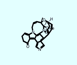 CO[C@@H]1[C@]2(C)/C=C\Cn3c4c(c5c6c(c7c(c53)[N+]1([O-])C1=C7C=C[C@@H](C1)O2)C=NC=6)C(=O)CCC=4